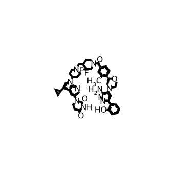 Cc1cc(C(=O)N2CCC(CN3CCC(n4cc(C5CC5)c5cc(N6CCC(=O)NC6=O)cnc54)CC3)C(F)(F)C2)ccc1[C@@H]1CN(c2cc(-c3ccccc3O)nnc2N)CCO1